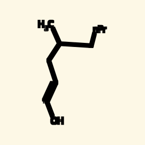 CCCCC(C)C/C=[C]/O